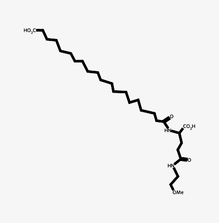 COCCNC(=O)CCC(NC(=O)CCCCCCCCCCCCCCCCCCC(=O)O)C(=O)O